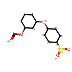 O=COC1CCCC(OC2CCC([SH](=O)=O)CC2)C1